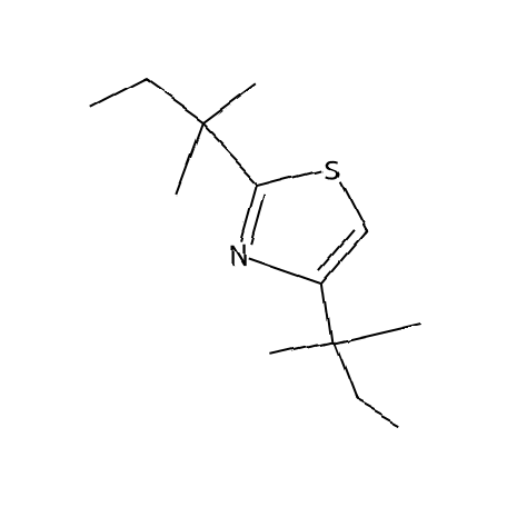 CCC(C)(C)c1csc(C(C)(C)CC)n1